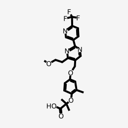 COCCc1nc(-c2ccc(C(F)(F)F)nc2)ncc1COc1ccc(OC(C)(C)C(=O)O)c(C)c1